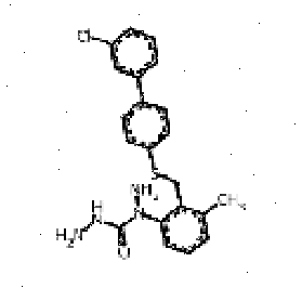 Cc1cccc(N(N)C(=O)NN)c1CSc1ccc(-c2cccc(Cl)c2)cc1